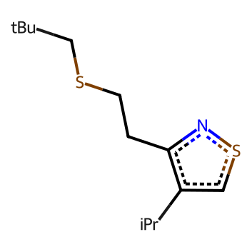 CC(C)c1csnc1CCSCC(C)(C)C